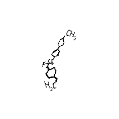 C=CC1CCC(CC(F)(F)OCc2ccc(C3CCC(C)CC3)cc2)CC1